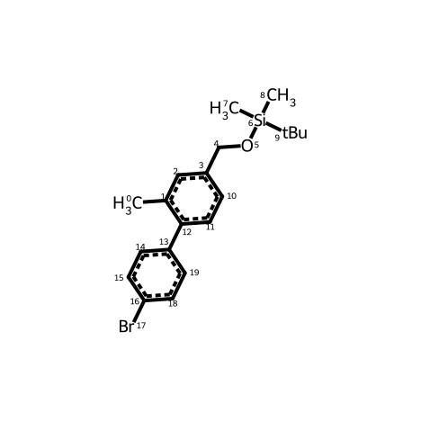 Cc1cc(CO[Si](C)(C)C(C)(C)C)ccc1-c1ccc(Br)cc1